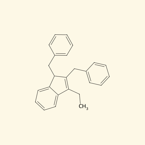 CCC1=C(Cc2ccccc2)C(Cc2ccccc2)c2ccccc21